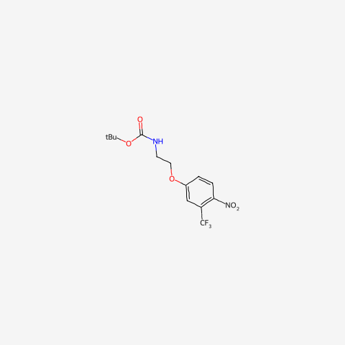 CC(C)(C)OC(=O)NCCOc1ccc([N+](=O)[O-])c(C(F)(F)F)c1